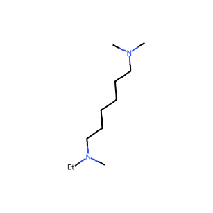 CCN(C)CCCCCCN(C)C